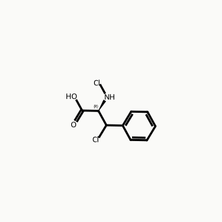 O=C(O)[C@@H](NCl)C(Cl)c1ccccc1